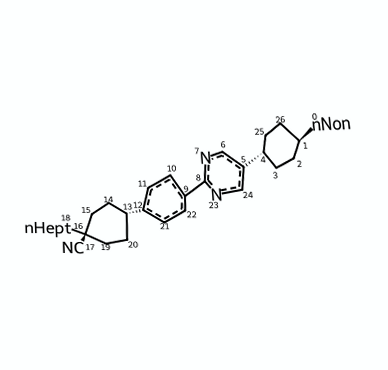 CCCCCCCCC[C@H]1CC[C@H](c2cnc(-c3ccc([C@H]4CC[C@@](C#N)(CCCCCCC)CC4)cc3)nc2)CC1